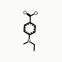 CCN(C)c1ccc(C([O])=O)cc1